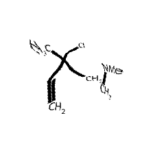 C=CC(C)(C)Cl.CNC